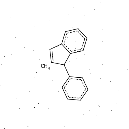 C.C1=CC(c2ccccc2)c2ccccc21